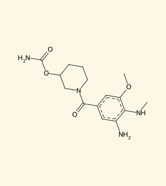 CNc1c(N)cc(C(=O)N2CCCC(OC(N)=O)C2)cc1OC